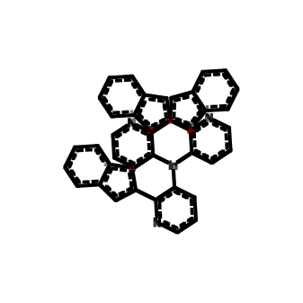 c1cnc(-c2cc3ccccc3s2)[c]([In]([c]2cccnc2-c2cc3ccccc3s2)[c]2cccnc2-c2cc3ccccc3s2)c1